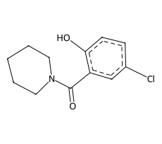 O=C(c1cc(Cl)ccc1O)N1CCCCC1